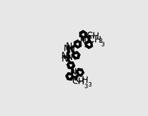 CC1(C)C2=C(C=CCC2)N(c2ccc(-c3nnc4c5nnc(-c6ccc(N7C8=C(CCC=C8)C(C)(C)c8ccccc87)cc6)n5c5ccccc5n34)cc2)c2ccccc21